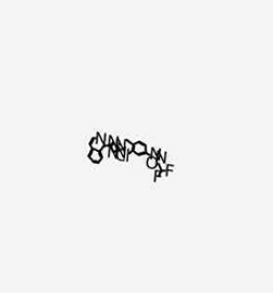 FC(F)c1nnc(-c2ccc(Cn3nnc(-c4nccc5ccccc45)n3)c(Cl)c2)o1